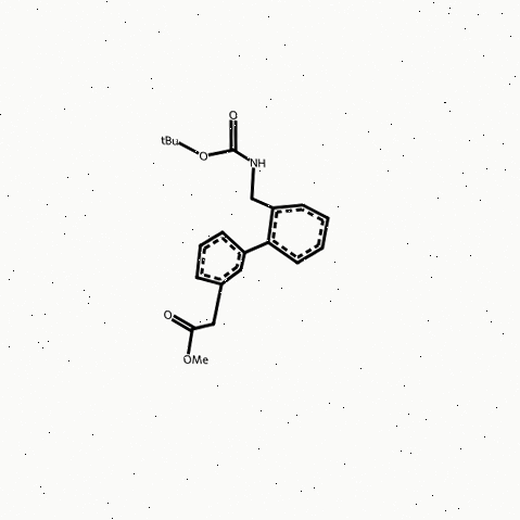 COC(=O)Cc1cccc(-c2ccccc2CNC(=O)OC(C)(C)C)c1